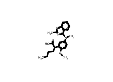 CCCCC(C(=O)O)c1cc(N(C)c2nc(C)nc3ccccc23)ccc1OC